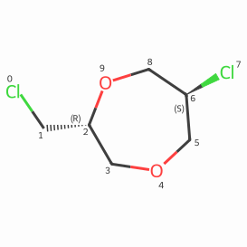 ClC[C@H]1COC[C@H](Cl)CO1